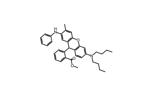 CCCCN(CCCC)c1ccc2c(c1)Oc1cc(C)c(Nc3ccccc3)cc1C2c1ccccc1C(=O)OC